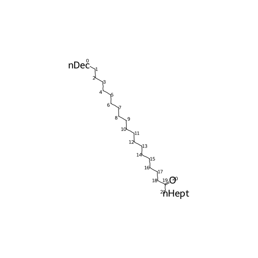 CCCCCCCCCCCCCCCCCCCCCCCCCCCCC(=O)CCCCCCC